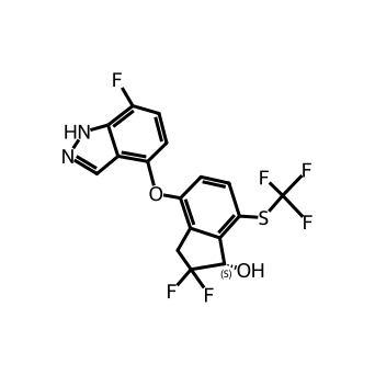 O[C@H]1c2c(SC(F)(F)F)ccc(Oc3ccc(F)c4[nH]ncc34)c2CC1(F)F